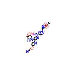 CN(C)CCOc1ccc(-c2cnc(Nc3ccnc(-c4cnn(S(=O)(=O)C5CC5)c4)n3)cc2NC2CCC(C)(O)CC2)nc1